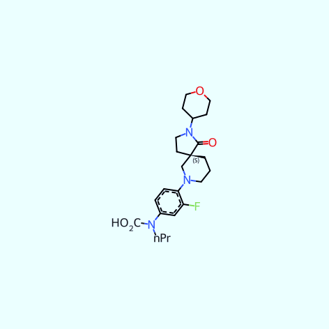 CCCN(C(=O)O)c1ccc(N2CCC[C@]3(CCN(C4CCOCC4)C3=O)C2)c(F)c1